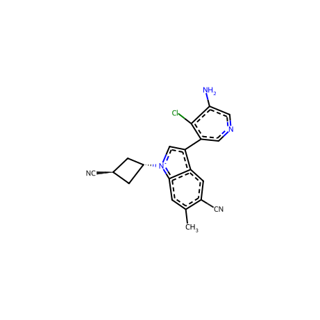 Cc1cc2c(cc1C#N)c(-c1cncc(N)c1Cl)cn2[C@H]1C[C@H](C#N)C1